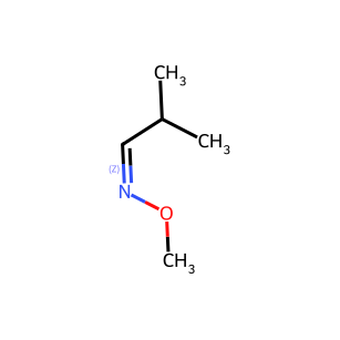 CO/N=C\C(C)C